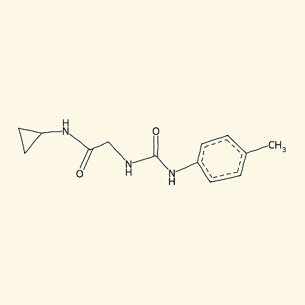 Cc1ccc(NC(=O)NCC(=O)NC2CC2)cc1